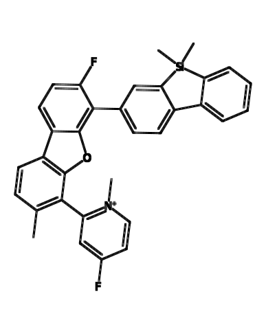 Cc1ccc2c(oc3c(-c4ccc5c(c4)[Si](C)(C)c4ccccc4-5)c(F)ccc32)c1-c1cc(F)cc[n+]1C